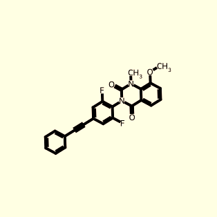 COc1cccc2c(=O)n(-c3c(F)cc(C#Cc4ccccc4)cc3F)c(=O)n(C)c12